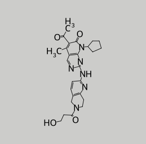 CC(=O)c1c(C)c2cnc(Nc3ccc4c(n3)CCN(C(=O)CCO)C4)nc2n(C2CCCC2)c1=O